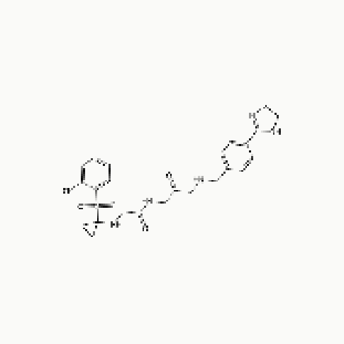 O=C(CNCc1ccc(C2=NCCN2)cc1)CNC(=O)CNC1(S(=O)(=O)c2ccccc2Cl)CC1